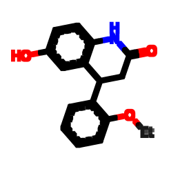 CCOc1ccccc1C1CC(=O)Nc2ccc(O)cc21